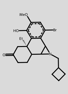 CC[C@@]12CC(=O)CCC1C1C(c3c(Br)cc(OC)c(O)c32)N1CC1CCC1